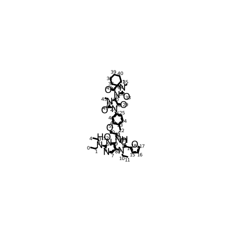 CCN(CC)c1ncc(N(CC)C(=O)c2ccco2)c(N[C@@H](Cc2ccc(N3C(=O)C(N4C(=O)N(C)C5(CCCCC5)C4=O)N(C)C3=O)cc2)C(=O)O)n1